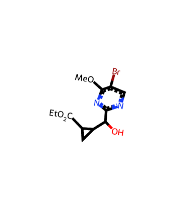 CCOC(=O)C1CC1C(O)c1ncc(Br)c(OC)n1